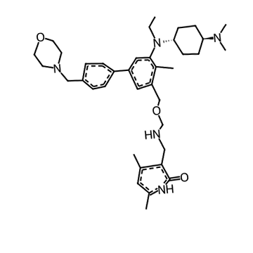 CCN(c1cc(-c2ccc(CN3CCOCC3)cc2)cc(COCNCc2c(C)cc(C)[nH]c2=O)c1C)[C@H]1CC[C@H](N(C)C)CC1